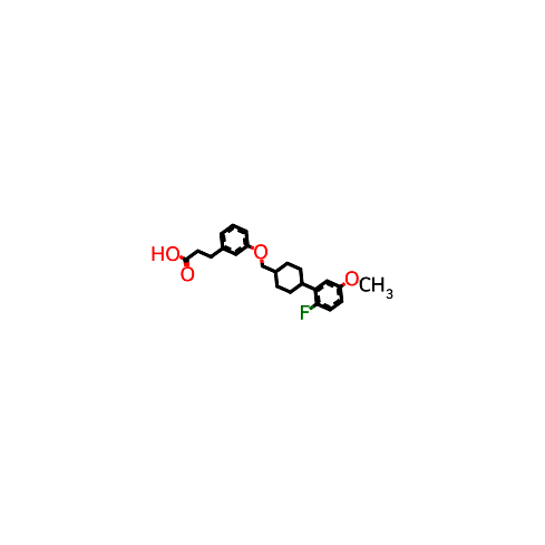 COc1ccc(F)c(C2CCC(COc3cccc(CCC(=O)O)c3)CC2)c1